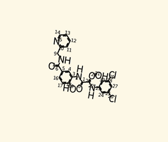 O=C(Nc1cc(C(=O)NCc2ccccn2)ccc1O)C(=O)Nc1cc(Cl)cc(Cl)c1O